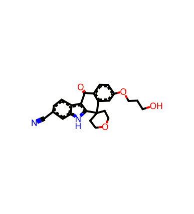 N#Cc1ccc2c3c([nH]c2c1)C1(CCOCC1)c1cc(OCCCO)ccc1C3=O